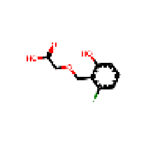 O=C(O)COCc1c(O)cccc1F